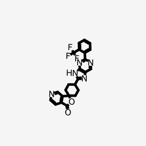 O=C1OC2(CCC(c3nc4cnc(-c5ccccc5C(F)(F)F)nc4[nH]3)CC2)c2cnccc21